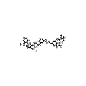 Cn1c(=O)n(C2CCC(=O)NC2=O)c2ccc(CCCOc3cccc(CN4CCN(c5cc(-c6ccccc6O)nnc5N)CC4)c3)cc21